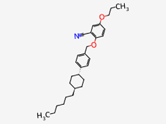 CCCCCC[C@H]1CC[C@H](c2ccc(COc3ccc(OCCC)cc3C#N)cc2)CC1